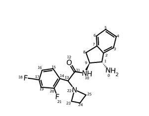 N[C@H]1c2ccccc2C[C@@H]1NC(=O)C(c1ccc(F)cc1F)N1CCC1